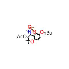 CCCCOc1ccc2c(c1)C(N(C)S(C)(=O)=O)C(OC(C)=O)C(C)(C)O2